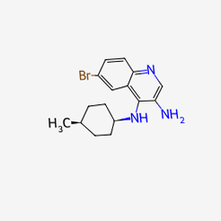 C[C@H]1CC[C@@H](Nc2c(N)cnc3ccc(Br)cc23)CC1